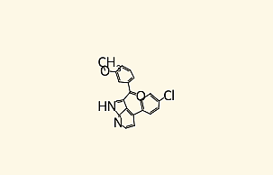 COc1cccc(C(=O)c2c[nH]c3nccc(-c4ccc(Cl)cc4)c23)c1